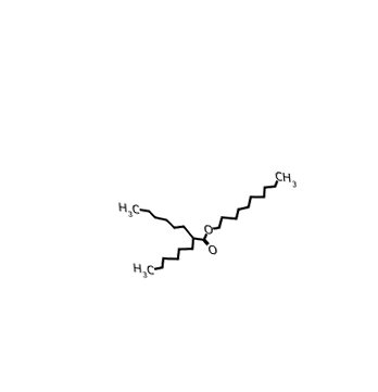 CCCCCCCCCCOC(=O)C(CCCCCC)CCCCCC